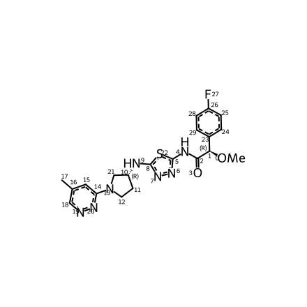 CO[C@@H](C(=O)Nc1nnc(N[C@@H]2CCN(c3cc(C)cnn3)C2)s1)c1ccc(F)cc1